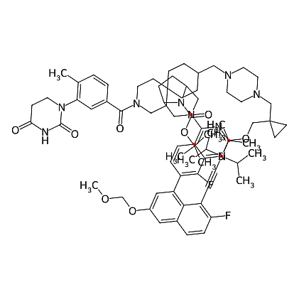 COCOc1cc(-c2ccc3c(N4CC5CCC(C4)N5C(=O)OC(C)(C)C)nc(OCC4(CN5CCN(CC6CCC7(CC6)CCN(C(=O)c6ccc(C)c(N8CCC(=O)NC8=O)c6)CC7)CC5)CC4)nc3c2F)c2c(C#C[Si](C(C)C)(C(C)C)C(C)C)c(F)ccc2c1